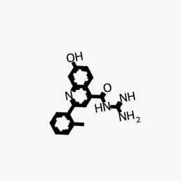 Cc1ccccc1-c1cc(C(=O)NC(=N)N)c2ccc(O)cc2n1